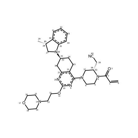 C=CC(=O)N1CCN(c2nc(OCCN3CCOCC3)nc3c2CC[C@H](N2C[C@H](C)c4ccccc42)C3)C[C@@H]1CC#N